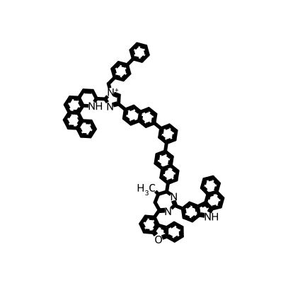 CC1CC(c2cccc3oc4ccccc4c23)=NC(c2ccc3[nH]c4ccc5ccccc5c4c3c2)=NC1c1ccc2cc(-c3cccc(-c4ccc5cc(C6=NC(C7C=Cc8ccc9ccc%10ccccc%10c9c8N7)[N+](Cc7ccc(-c8ccccc8)cc7)=C6)ccc5c4)c3)ccc2c1